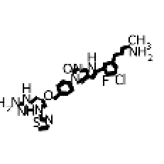 C[C@H](N)CCCc1cc(Cl)c(F)c(-c2cc3cn(-c4ccc(CO[C@H](CCNC(=N)N)CNc5nccs5)cc4)c(=O)nc3[nH]2)c1